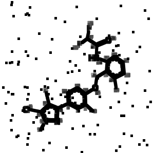 Cc1cc(-c2nn(C)c(Cl)c2C)ccc1OCc1c(C)cccc1NC(=O)C(F)F